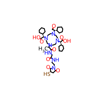 CC(C(=O)NCC(=O)NCCN1C(=O)CC(S)C1=O)N1CCN([C@@H](C(=O)O)C2CCCCC2)CCN([C@@H](C=O)C2CCCCC2)CCN([C@@H](C(=O)O)C2CCCCC2)CC1